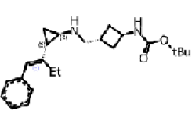 CC/C(=C\c1ccccc1)[C@@H]1C[C@H]1NC[C@H]1C[C@H](NC(=O)OC(C)(C)C)C1